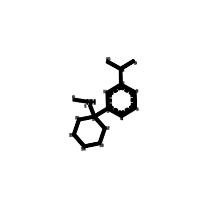 CNC1(c2cccc(C(C)C)c2)CCCCC1